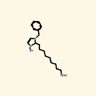 CCCCCCCCCCCCCCCCCCCC1N(Cc2ccccc2)C=CN1C(C)C